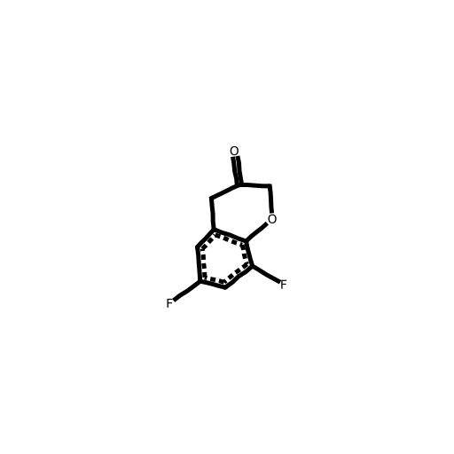 O=C1COc2c(F)cc(F)cc2C1